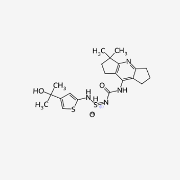 CC(C)(O)c1csc(N/[SH](=O)=N\C(=O)Nc2c3c(nc4c2CCC4(C)C)CCC3)c1